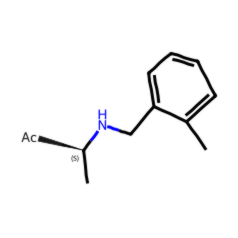 CC(=O)[C@H](C)NCc1ccccc1C